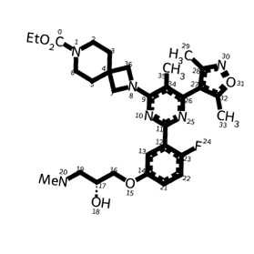 CCOC(=O)N1CCC2(CC1)CN(c1nc(-c3cc(OC[C@H](O)CNC)ccc3F)nc(-c3c(C)noc3C)c1C)C2